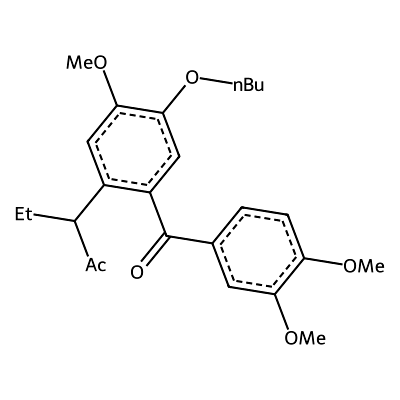 CCCCOc1cc(C(=O)c2ccc(OC)c(OC)c2)c(C(CC)C(C)=O)cc1OC